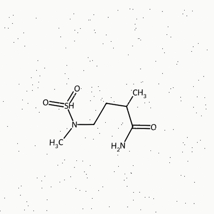 CC(CCN(C)[SH](=O)=O)C(N)=O